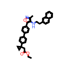 CCOC(=O)CC1(c2ccc(-c3ccc(-c4onc(C)c4NCCc4ccc5ccccc5c4)cc3)cc2)CC1